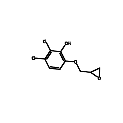 Oc1c(OCC2CO2)ccc(Cl)c1Cl